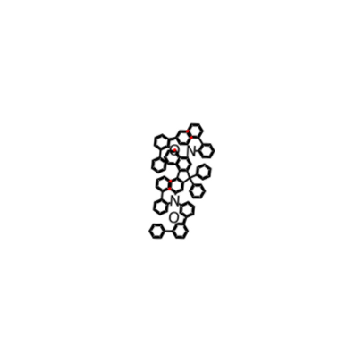 c1ccc(-c2ccccc2N(c2ccc3c(c2)C(c2ccccc2)(c2ccccc2)c2cc(N(c4ccccc4-c4ccccc4)c4cccc5c4oc4c(-c6ccccc6)cccc45)c4ccccc4c2-3)c2cccc3c2oc2c(-c4ccccc4)cccc23)cc1